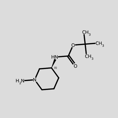 CC(C)(C)OC(=O)N[C@H]1CCCN(N)C1